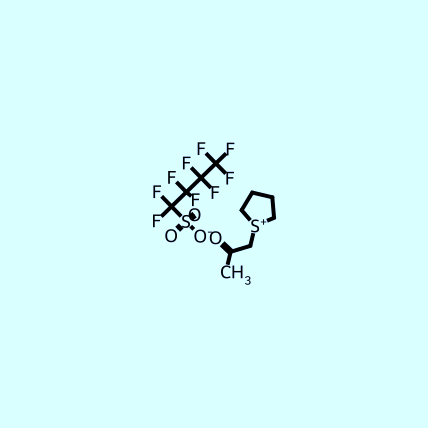 CC(=O)C[S+]1CCCC1.O=S(=O)([O-])C(F)(F)C(F)(F)C(F)(F)C(F)(F)F